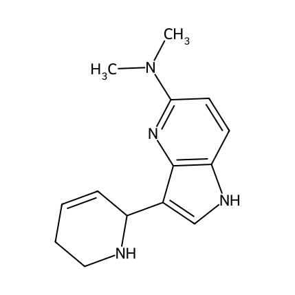 CN(C)c1ccc2[nH]cc(C3C=CCCN3)c2n1